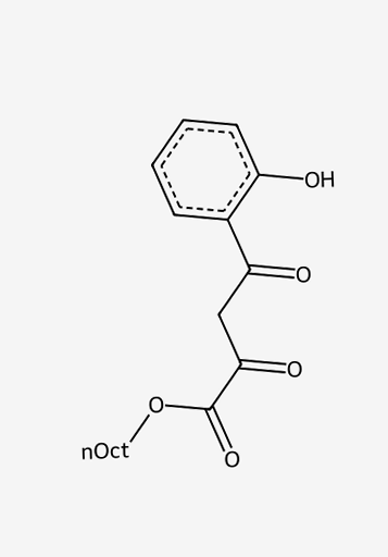 CCCCCCCCOC(=O)C(=O)CC(=O)c1ccccc1O